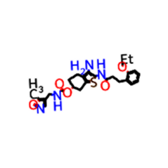 CCOc1ccccc1CCC(=O)Nc1sc2c(c1N)CCC(OC(=O)NCc1cnoc1C)C2